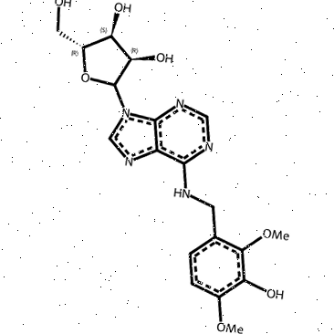 COc1ccc(CNc2ncnc3c2ncn3C2O[C@H](CO)[C@@H](O)[C@H]2O)c(OC)c1O